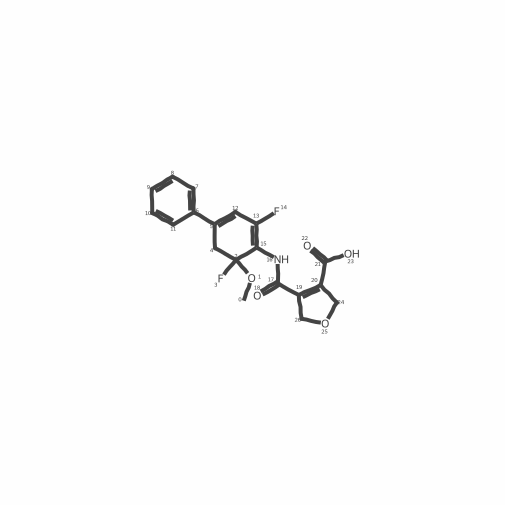 COC1(F)CC(c2ccccc2)=CC(F)=C1NC(=O)C1=C(C(=O)O)COC1